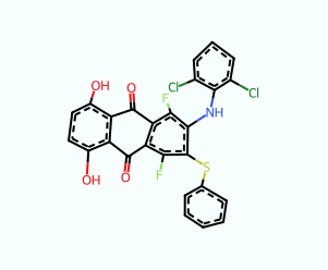 O=C1c2c(O)ccc(O)c2C(=O)c2c(F)c(Sc3ccccc3)c(Nc3c(Cl)cccc3Cl)c(F)c21